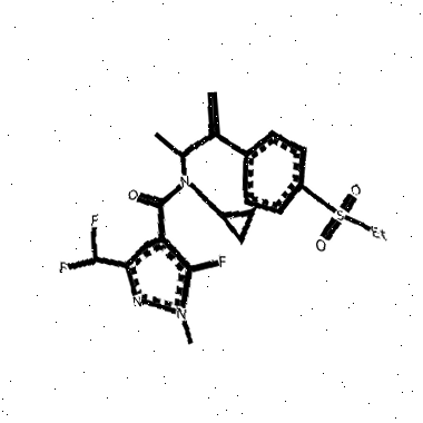 C=C(c1ccc(S(=O)(=O)CC)cc1)C(C)N(C(=O)c1c(C(F)F)nn(C)c1F)C1CC1